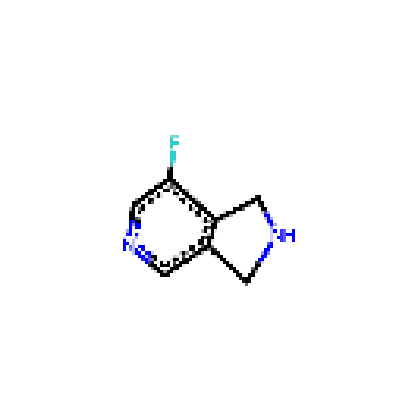 Fc1cncc2c1CNC2